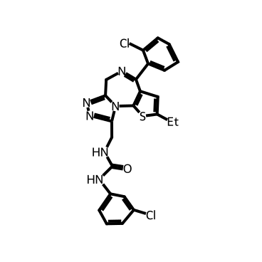 CCc1cc2c(s1)-n1c(nnc1CNC(=O)Nc1cccc(Cl)c1)CN=C2c1ccccc1Cl